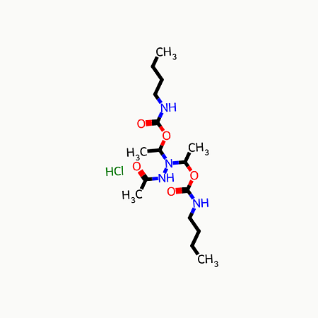 CCCCNC(=O)OC(C)N(NC(C)=O)C(C)OC(=O)NCCCC.Cl